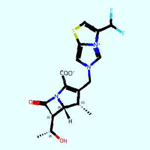 C[C@@H](O)[C@H]1C(=O)N2C(C(=O)[O-])=C(Cn3cc4scc(C(F)F)[n+]4c3)[C@H](C)[C@H]12